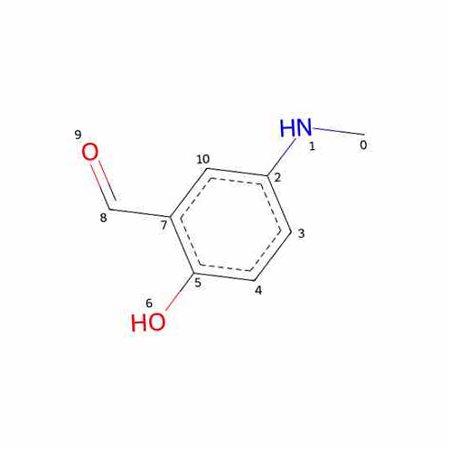 CNc1ccc(O)c(C=O)c1